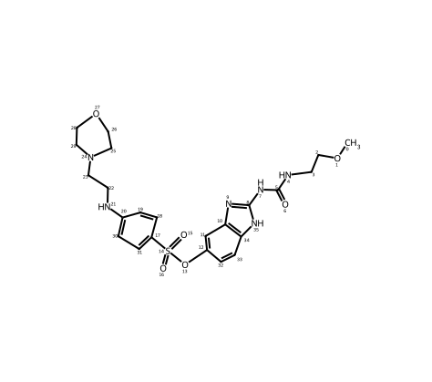 COCCNC(=O)Nc1nc2cc(OS(=O)(=O)c3ccc(NCCN4CCOCC4)cc3)ccc2[nH]1